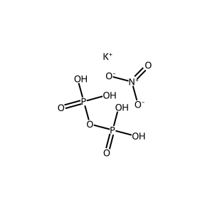 O=P(O)(O)OP(=O)(O)O.O=[N+]([O-])[O-].[K+]